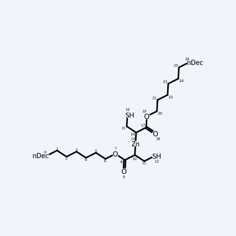 CCCCCCCCCCCCCCCCOC(=O)[CH](CS)[Zn][CH](CS)C(=O)OCCCCCCCCCCCCCCCC